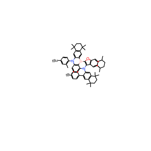 Cc1cc(C(C)(C)C)ccc1N1c2cc3c(cc2B2c4oc5cc6c(cc5c4N(c4cc5c(cc4-c4ccccc4)C(C)(C)CCC5(C)C)c4cc(C(C)(C)C)cc1c42)C1(C)CCC6(C)CC1)C(C)(C)CCC3(C)C